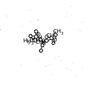 Cc1cccc(-c2cc3c(c4c2oc2ccccc24)-c2ccc(N(c4ccc(-c5ccccc5)cc4)c4ccc5c(c4)C(C)(C)c4c6c(c7c(oc8ccccc87)c4-5)-c4ccccc4C6(C)C)cc2C3(C)C)c1